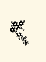 N[C@H](C(=O)Nc1c(Cl)cccc1OC[C@@H]1CN[C@H](COC(=O)NCC(F)(F)F)CO1)C(c1ccc(F)cc1)c1ccc(F)cc1